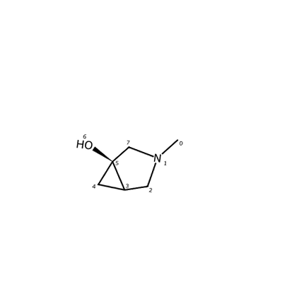 CN1CC2C[C@]2(O)C1